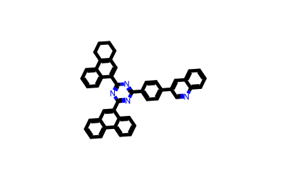 c1ccc2ncc(-c3ccc(-c4nc(-c5cc6c(c7ccccc57)CCCC6)nc(-c5cc6ccccc6c6ccccc56)n4)cc3)cc2c1